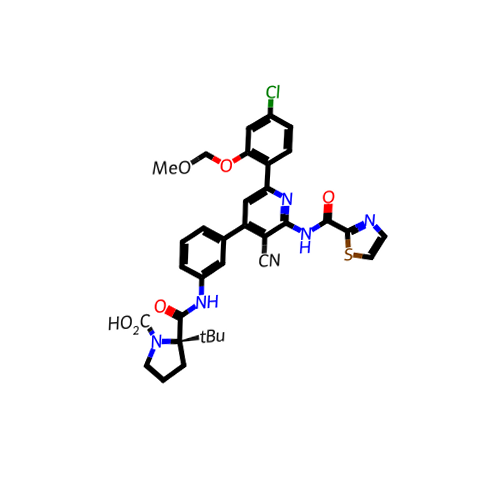 COCOc1cc(Cl)ccc1-c1cc(-c2cccc(NC(=O)[C@]3(C(C)(C)C)CCCN3C(=O)O)c2)c(C#N)c(NC(=O)c2nccs2)n1